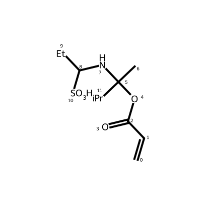 C=CC(=O)OC(C)(NC(CC)S(=O)(=O)O)C(C)C